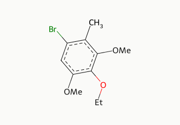 CCOc1c(OC)cc(Br)c(C)c1OC